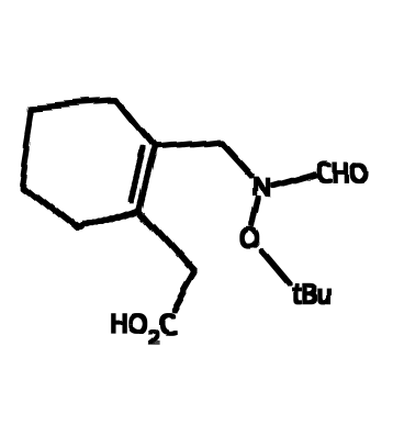 CC(C)(C)ON(C=O)CC1=C(CC(=O)O)CCCC1